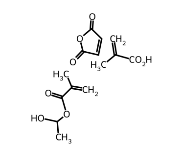 C=C(C)C(=O)O.C=C(C)C(=O)OC(C)O.O=C1C=CC(=O)O1